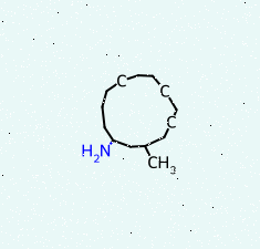 CC1CCCCCCCCCCC(N)C1